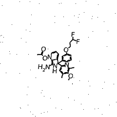 COc1c(C)cc(C2(c3cccc(OCCC(F)F)c3)NC(N)=C3C2=CC=CN3OC(C)=O)nc1C